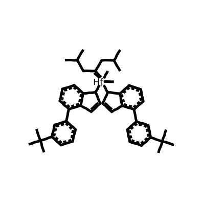 CC(C)C[C](CC(C)C)=[Hf]([CH3])([CH3])([CH]1C=Cc2c(-c3cccc(C(C)(C)C)c3)cccc21)[CH]1C=Cc2c(-c3cccc(C(C)(C)C)c3)cccc21